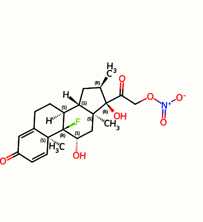 C[C@@H]1C[C@H]2[C@@H]3CCC4=CC(=O)C=C[C@]4(C)[C@@]3(F)[C@@H](O)C[C@]2(C)[C@@]1(O)C(=O)CO[N+](=O)[O-]